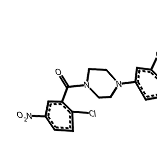 O=C(c1cc([N+](=O)[O-])ccc1Cl)N1CCN(c2cccc(Cl)c2)CC1